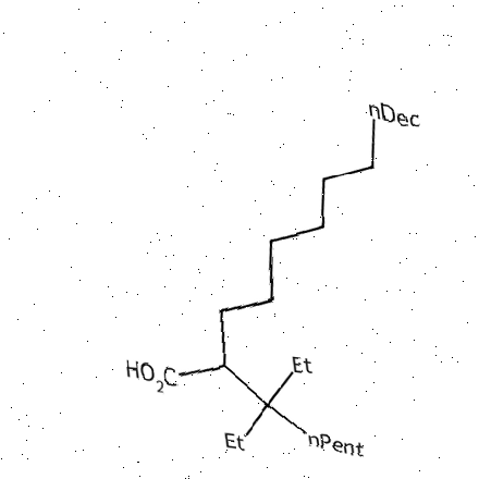 CCCCCCCCCCCCCCCCC(C(=O)O)C(CC)(CC)CCCCC